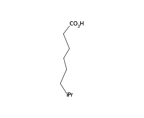 CC(C)CCCCCC(=O)O